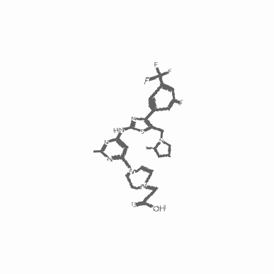 Cc1nc(Nc2nc(-c3cc(F)cc(C(F)(F)F)c3)c(CN3CCC[C@H]3C)s2)cc(N2CCN(CC(=O)O)CC2)n1